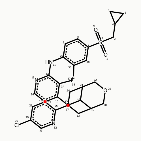 O=S(=O)(CC1CC1)c1ccc(Nc2ncnc(OC3C4COCC3CN(c3ncc(Cl)cn3)C4)c2F)c(F)c1